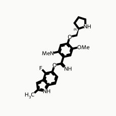 CNc1cc(OC[C@H]2CCCN2)c(OC)cc1C(=N)Oc1ccc2[nH]c(C)cc2c1F